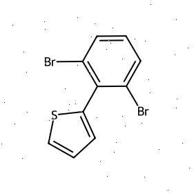 Brc1cccc(Br)c1-c1cccs1